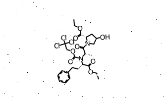 CCOC(=O)[C@@H]1CC(O)CN1C(=O)[C@H](C)N(C(=O)OCC(Cl)(Cl)Cl)[C@@H](CCc1ccccc1)C(=O)OCC